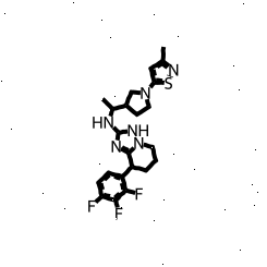 Cc1cc(N2CCC(C(C)NC3N=C4C(c5ccc(F)c(F)c5F)CCCN4N3)C2)sn1